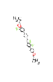 CCCCOc1ccc(C2CCC(CCc3ccc(C4=CCC(OCCCC)CC4)c(F)c3F)CC2)cc1F